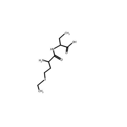 CCSCCC(N)C(=O)NC(CC)C(=O)O